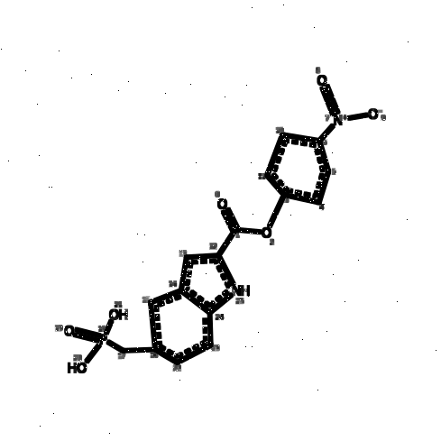 O=C(Oc1ccc([N+](=O)[O-])cc1)c1cc2cc(CP(=O)(O)O)ccc2[nH]1